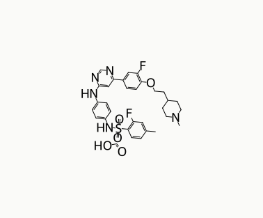 Cc1ccc(S(=O)(=O)Nc2ccc(Nc3cc(-c4ccc(OCCC5CCN(C)CC5)c(F)c4)ncn3)cc2)c(F)c1.O=CO